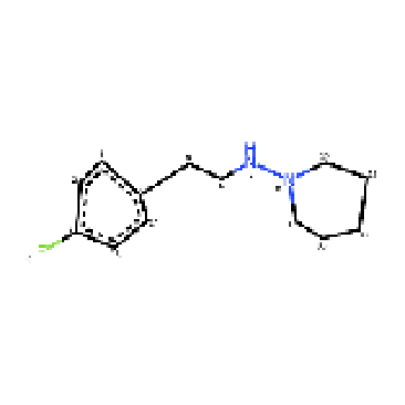 Fc1ccc(CCNN2CCCCC2)cc1